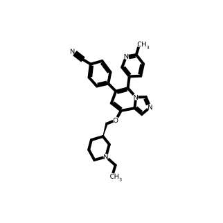 CCN1CCC[C@@H](COc2cc(-c3ccc(C#N)cc3)c(-c3ccc(C)nc3)n3cncc23)C1